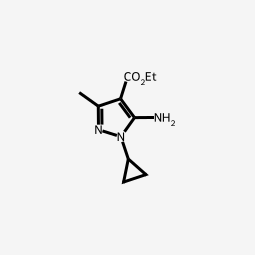 CCOC(=O)c1c(C)nn(C2CC2)c1N